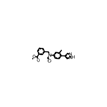 COC(=O)c1cccc(CN(C=O)c2ccc(-c3cn[nH]c3)c(C)c2)c1